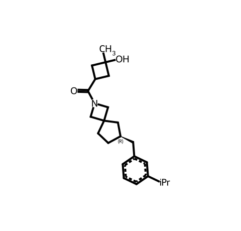 CC(C)c1cccc(C[C@H]2CCC3(C2)CN(C(=O)C2CC(C)(O)C2)C3)c1